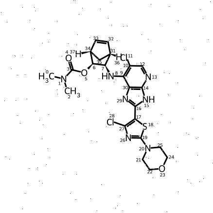 CN(C)C(=O)O[C@@H]1[C@H](Nc2c(Cl)cnc3[nH]c(-c4sc(N5CCOCC5)nc4Cl)nc23)[C@H]2C=C[C@@H]1C2